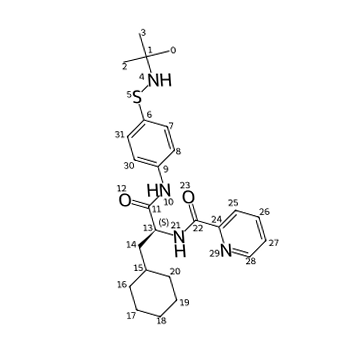 CC(C)(C)NSc1ccc(NC(=O)[C@H](CC2CCCCC2)NC(=O)c2ccccn2)cc1